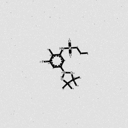 CCCS(=O)(=O)Nc1cc(B2OC(C)(C)C(C)(C)O2)cc(F)c1C